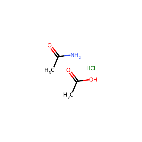 CC(=O)O.CC(N)=O.Cl